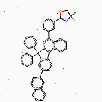 CC1(C)COC(c2cncc(-c3cc4c(c5ccccc35)-c3ccc(-c5ccc6ccccc6c5)cc3C4(c3ccccc3)c3ccccc3)c2)=N1